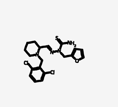 NC(=S)N(Cc1ccco1)N=CC1CCCCN1Cc1c(Cl)cccc1Cl